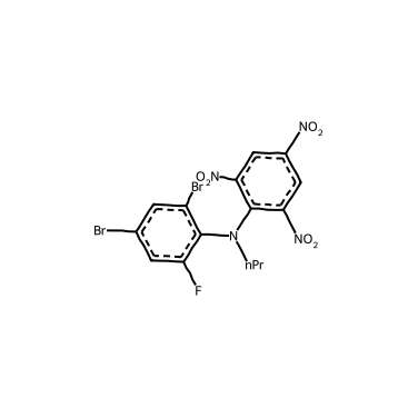 CCCN(c1c(F)cc(Br)cc1Br)c1c([N+](=O)[O-])cc([N+](=O)[O-])cc1[N+](=O)[O-]